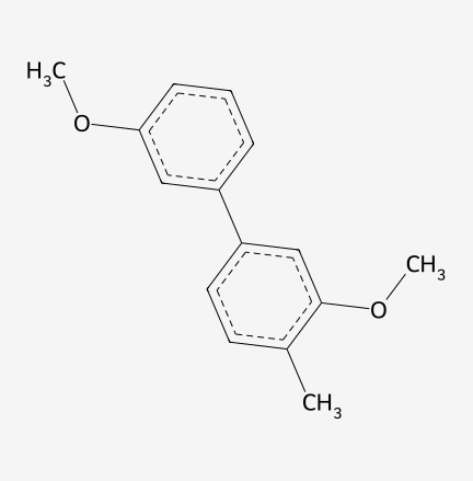 COc1cccc(-c2ccc(C)c(OC)c2)c1